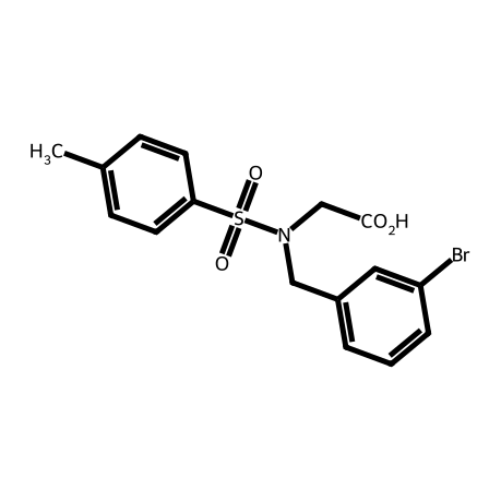 Cc1ccc(S(=O)(=O)N(CC(=O)O)Cc2cccc(Br)c2)cc1